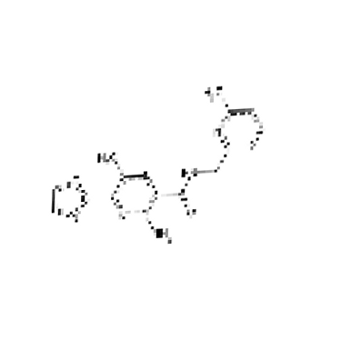 Cc1cccc(CNC(=O)c2nc(C)c(-c3ncco3)nc2N)n1